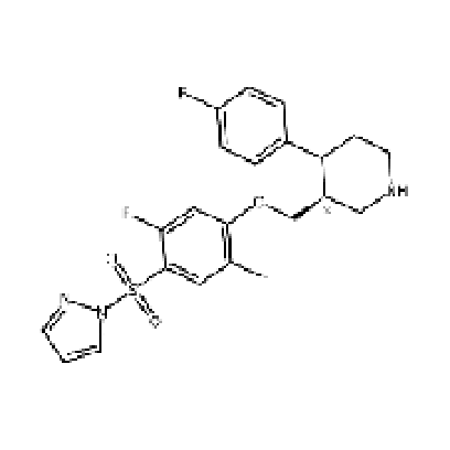 O=S(=O)(c1cc(F)c(OC[C@@H]2CNCCC2c2ccc(F)cc2)cc1F)n1cccn1